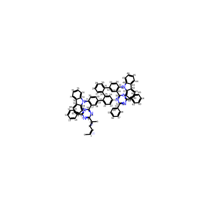 C/C=C\C=C(/C)c1nc(-c2ccccc2)nc(-c2cc(-c3ccccc3-c3ccccc3-c3ccc(-n4c5ccccc5c5ccccc54)c(-c4nc(-c5ccccc5)nc(-c5ccccc5)n4)c3)ccc2-n2c3ccccc3c3ccccc32)n1